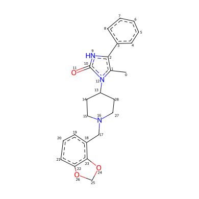 Cc1c(-c2ccccc2)[nH]c(=O)n1C1CCN(Cc2cccc3c2OCO3)CC1